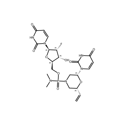 C=C[C@@H]1CN(P(=O)(OC[C@H]2O[C@@H](n3ccc(=O)[nH]c3=O)[C@H](F)[C@@H]2O)N(C)C)C[C@H](n2ccc(=O)[nH]c2=O)O1